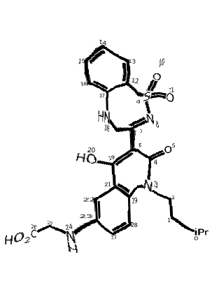 CC(C)CCn1c(=O)c(C2=NS(=O)(=O)c3ccccc3N2)c(O)c2cc(NCC(=O)O)ccc21